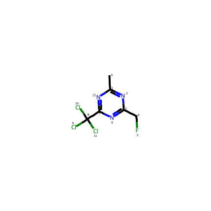 Cc1nc(CF)nc(C(Cl)(Cl)Cl)n1